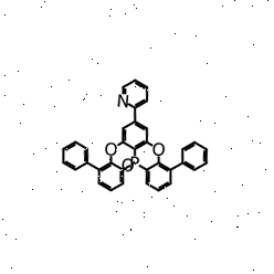 O=P12c3cccc(-c4ccccc4)c3Oc3cc(-c4ccccn4)cc(c31)Oc1c(-c3ccccc3)cccc12